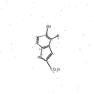 O=C(O)c1cc2c(Br)c(O)ccc2[nH]1